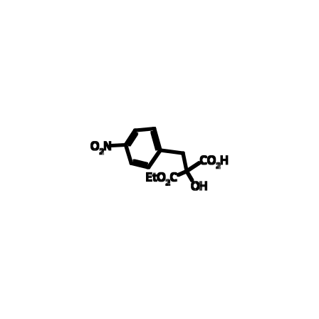 CCOC(=O)C(O)(Cc1ccc([N+](=O)[O-])cc1)C(=O)O